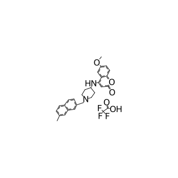 COc1ccc2oc(=O)cc(NC3CCN(Cc4ccc5ccc(C)cc5c4)CC3)c2c1.O=C(O)C(F)(F)F